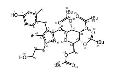 Cc1cc(O)ccc1Cc1c(O[C@@H]2O[C@H](COC(=O)C(C)(C)C)[C@@H](OC(=O)C(C)(C)C)[C@H](OC(=O)C(C)(C)C)[C@H]2OC(=O)C(C)(C)C)nn(CCCO)c1C(C)C